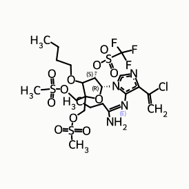 C=C(Cl)c1ncn([C@@H]2OC(COS(C)(=O)=O)(COS(C)(=O)=O)C(OCCCC)[C@@H]2OS(=O)(=O)C(F)(F)F)c1/N=C(/N)CCC